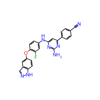 N#Cc1ccc(-c2cc(Nc3ccc(Oc4ccc5[nH]ncc5c4)c(F)c3)nc(N)n2)cc1